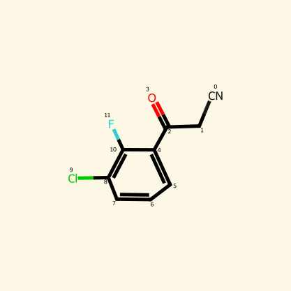 N#CCC(=O)c1cccc(Cl)c1F